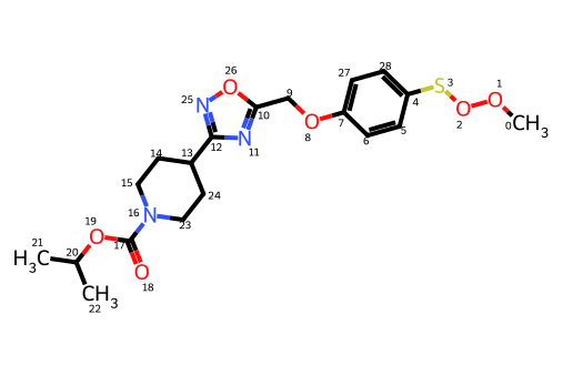 COOSc1ccc(OCc2nc(C3CCN(C(=O)OC(C)C)CC3)no2)cc1